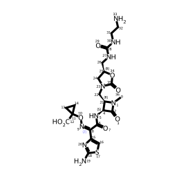 CN1C(=O)[C@@H](NC(=O)/C(=N\OC2(C(=O)O)CC2)c2csc(N)n2)[C@H]1CN1C[C@@H](CNC(=O)NCCN)OC1=O